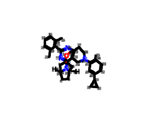 CO[C@H]1C[C@H]2CC[C@@H](C1)N2c1nc(-c2c(C)cccc2C)nc2c1CN(c1cc(C3CC3)ccc1C)CC2